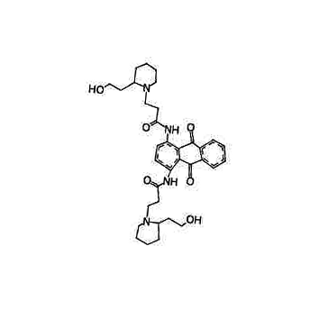 O=C(CCN1CCCCC1CCO)Nc1ccc(NC(=O)CCN2CCCCC2CCO)c2c1C(=O)c1ccccc1C2=O